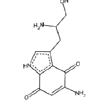 NC1=CC(=O)c2[nH]cc(CC(N)CO)c2C1=O